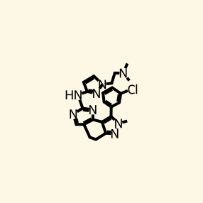 CN(C)CCn1ccc(Nc2ncc3c(n2)-c2c(nn(C)c2-c2cccc(Cl)c2)CC3)n1